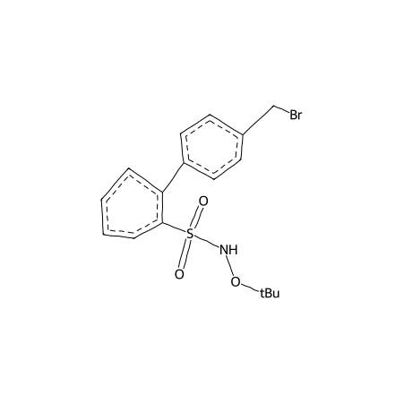 CC(C)(C)ONS(=O)(=O)c1ccccc1-c1ccc(CBr)cc1